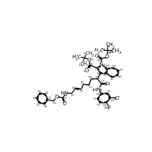 CC(C)(C)OC(=O)c1c(C(CCC/C=C/CNC(=O)OCc2ccccc2)C(=O)Nc2ccc(F)c(Cl)c2)c2ccccc2n1C(=O)OC(C)(C)C